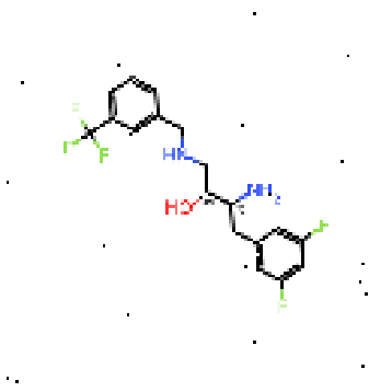 N[C@@H](Cc1cc(F)cc(F)c1)[C@H](O)CNCc1cccc(C(F)(F)F)c1